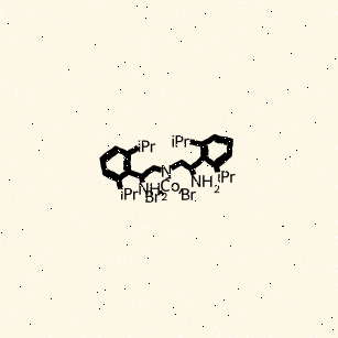 CC(C)c1cccc(C(C)C)c1C(N)C[N](CC(N)c1c(C(C)C)cccc1C(C)C)[Co]([Br])[Br]